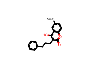 COc1ccc2oc(=O)c(CCCc3ccccc3)c(O)c2c1